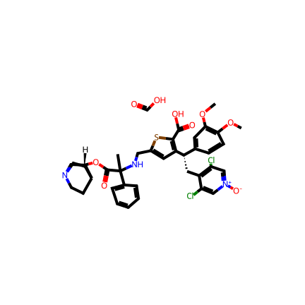 COc1ccc([C@H](Cc2c(Cl)c[n+]([O-])cc2Cl)c2cc(CNC(C)(C(=O)O[C@H]3CN4CCC3CC4)c3ccccc3)sc2C(=O)O)cc1OC.O=CO